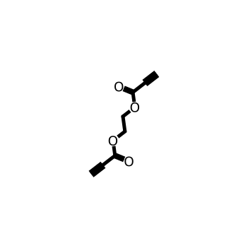 C#CC(=O)OCCOC(=O)C#C